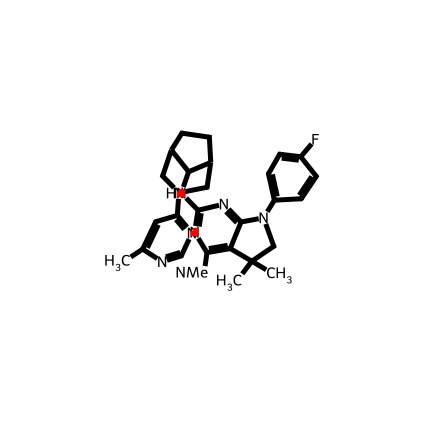 CNc1nc(NC2C3CCC2CN(c2cc(C)ncn2)C3)nc2c1C(C)(C)CN2c1ccc(F)cc1